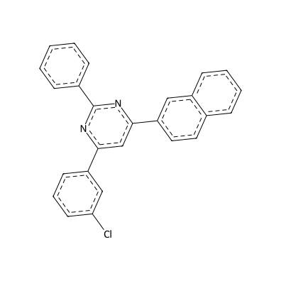 Clc1cccc(-c2cc(-c3ccc4ccccc4c3)nc(-c3ccccc3)n2)c1